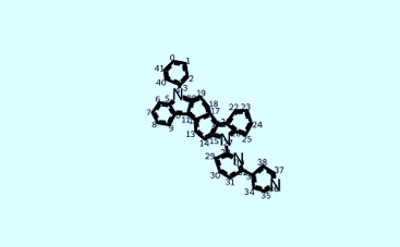 c1ccc(-n2c3ccccc3c3c4ccc5c(c4ccc32)c2ccccc2n5-c2cccc(-c3ccncc3)n2)cc1